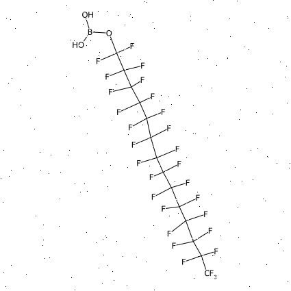 OB(O)OC(F)(F)C(F)(F)C(F)(F)C(F)(F)C(F)(F)C(F)(F)C(F)(F)C(F)(F)C(F)(F)C(F)(F)C(F)(F)C(F)(F)C(F)(F)C(F)(F)F